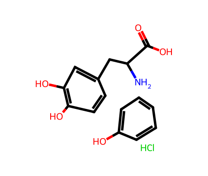 Cl.NC(Cc1ccc(O)c(O)c1)C(=O)O.Oc1ccccc1